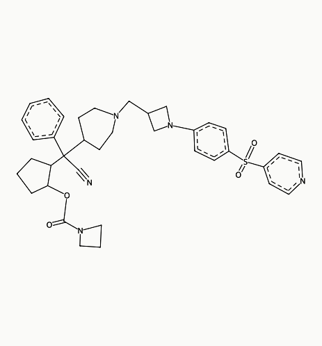 N#CC(c1ccccc1)(C1CCN(CC2CN(c3ccc(S(=O)(=O)c4ccncc4)cc3)C2)CC1)C1CCCC1OC(=O)N1CCC1